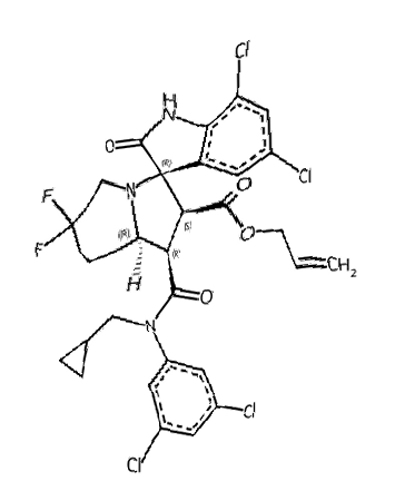 C=CCOC(=O)[C@H]1[C@@H](C(=O)N(CC2CC2)c2cc(Cl)cc(Cl)c2)[C@H]2CC(F)(F)CN2[C@]12C(=O)Nc1c(Cl)cc(Cl)cc12